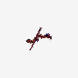 CCCCCCCCCCCCc1cc(-c2ccc(-c3cc(CCCCCCCCCCCC)c(-c4cc5c(s4)/C(=C4\CCc6cc(-c7ccc(-c8ccc(-c9ccc(C)s9)c9nsnc89)s7)sc64)CC5)s3)c3nsnc23)sc1-c1cc2c(s1)/C(=C1\CCc3cc(C)sc31)CC2